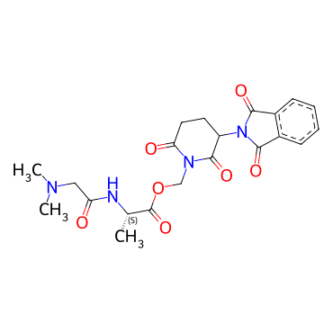 C[C@H](NC(=O)CN(C)C)C(=O)OCN1C(=O)CCC(N2C(=O)c3ccccc3C2=O)C1=O